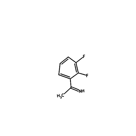 CC(=N)c1cccc(F)c1F